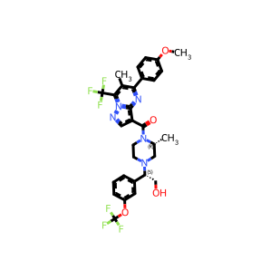 COc1ccc(-c2nc3c(C(=O)N4CCN([C@H](CO)c5cccc(OC(F)(F)F)c5)C[C@H]4C)cnn3c(C(F)(F)F)c2C)cc1